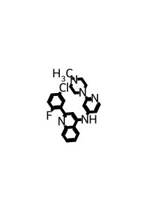 CN1CCN(c2cc(Nc3cc(-c4cc(Cl)ccc4F)nc4ccccc34)ccn2)CC1